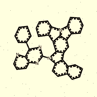 c1ccc(-c2nc(-n3c4ccc5ccccc5c4c4cc5c6ccccc6n6c7ccccc7c(c43)c56)nc3cccnc23)cc1